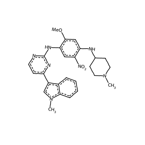 COc1cc(NC2CCN(C)CC2)c([N+](=O)[O-])cc1Nc1nccc(-c2cn(C)c3ccccc23)n1